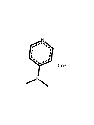 CN(C)c1ccncc1.[Co+3]